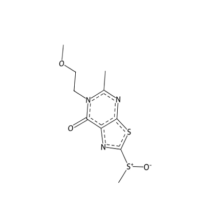 COCCn1c(C)nc2sc([S+](C)[O-])nc2c1=O